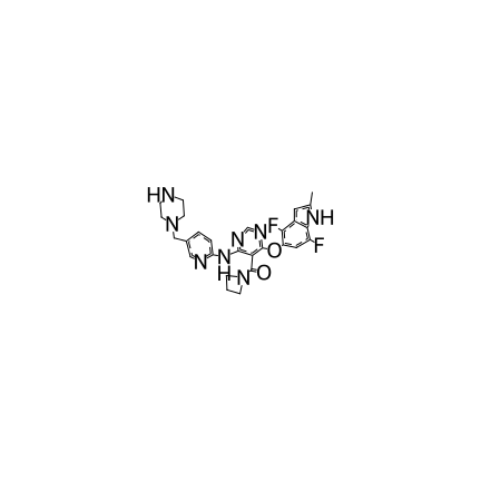 Cc1cc2c(F)c(Oc3ncnc(Nc4ccc(CN5CCNCC5)cn4)c3C(=O)N3CCC3)cc(F)c2[nH]1